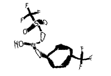 O=S(=O)(OB(O)Oc1ccc(C(F)(F)F)cc1)C(F)(F)F